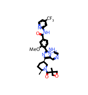 COc1cc(C(=O)Nc2cc(C(F)(F)F)ccn2)ccc1C1=NC([C@@H]2CC[C@H](C)N(C(=O)C3(C)COC3)C2)=C2C=NC=C[N+]12N